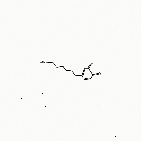 CCCCCCCCCCCCCCCC1=CC(=O)C(=O)C=[C]1